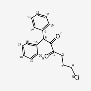 O=C(CCCCl)C(=O)C(c1ccccc1)c1ccccc1